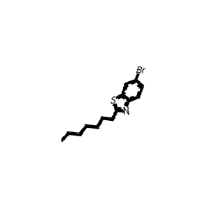 CCCCCCCc1nc2ccc(Br)cc2s1